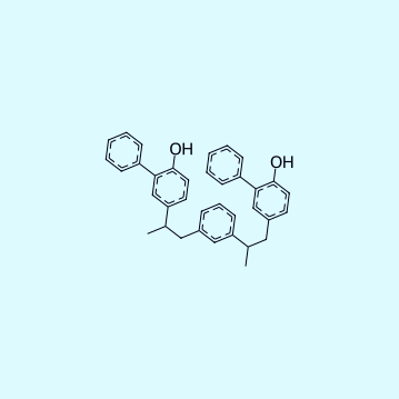 CC(Cc1ccc(O)c(-c2ccccc2)c1)c1cccc(CC(C)c2ccc(O)c(-c3ccccc3)c2)c1